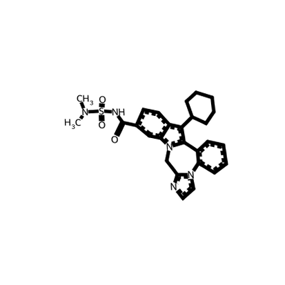 CN(C)S(=O)(=O)NC(=O)c1ccc2c(C3CCCCC3)c3n(c2c1)Cc1nccn1-c1ccccc1-3